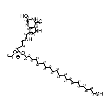 CCOP(=O)(CCCNCc1c[nH]c2c(=O)[nH]c(O)nc12)OCCCCCCCCCCCCCCCCCCCCCO